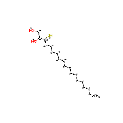 CCCCCCCCCCCCCCCCC(S)C(O)CO